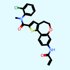 C=CC(=O)Nc1ccc2c(c1)OCCc1cc(C(=O)N(C)c3ccccc3Cl)sc1-2